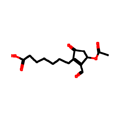 CC(=O)OC1CC(=O)C(CCCCCCC(=O)O)=C1C=O